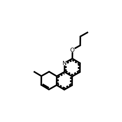 CCCOc1ccc2ccc3c(c2n1)CC(C)C=C3